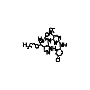 CCOC(=O)c1cn[nH]c1N(C)c1nc(Nc2ccc(Cl)cc2)ncc1[N+](=O)[O-]